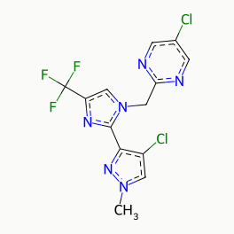 Cn1cc(Cl)c(-c2nc(C(F)(F)F)cn2Cc2ncc(Cl)cn2)n1